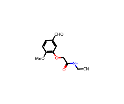 COc1ccc(C=O)cc1OCC(=O)NCC#N